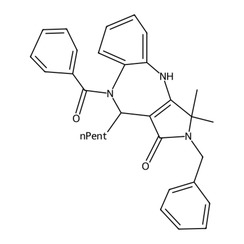 CCCCCC1C2=C(Nc3ccccc3N1C(=O)c1ccccc1)C(C)(C)N(Cc1ccccc1)C2=O